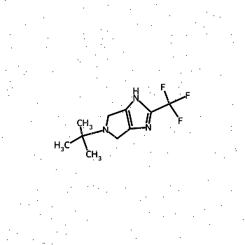 CC(C)(C)N1Cc2nc(C(F)(F)F)[nH]c2C1